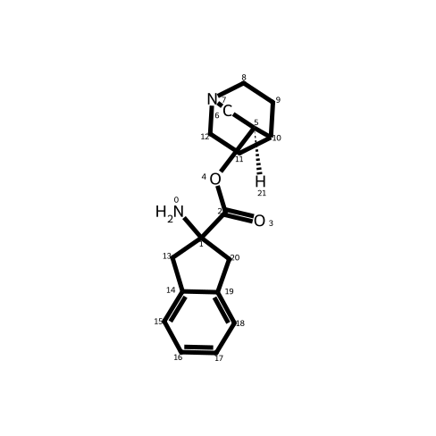 NC1(C(=O)O[C@H]2CN3CCC2CC3)Cc2ccccc2C1